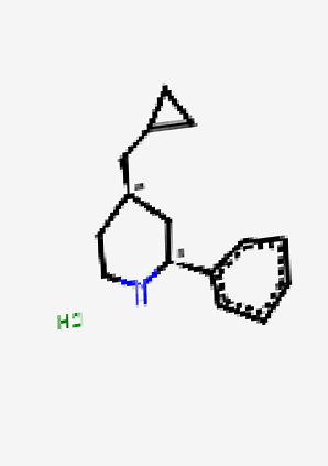 Cl.c1ccc([C@@H]2C[C@H](CC3CC3)CCN2)cc1